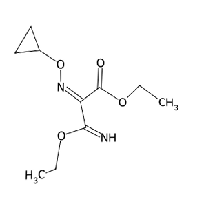 CCOC(=N)C(=NOC1CC1)C(=O)OCC